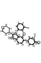 Cc1cccc(C)c1Oc1c(-c2ccc(=O)n(C)c2)ccc2[nH]c(C3CCOCC3)nc12